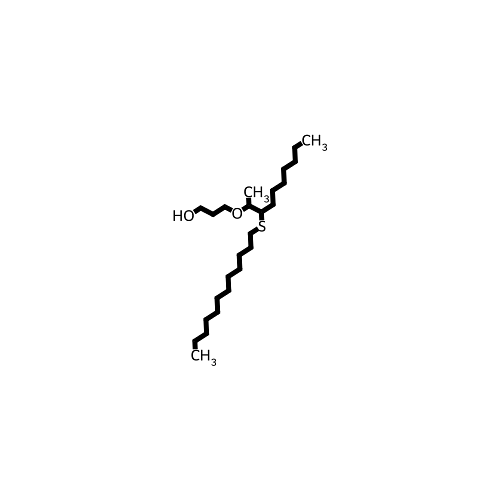 CCCCCCCCCCCCSC(CCCCCCC)C(C)OCCCO